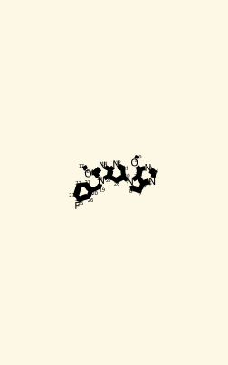 COc1ncnc2ccn(-c3cnc4nc(OC)n(Cc5cccc(F)c5)c4c3)c12